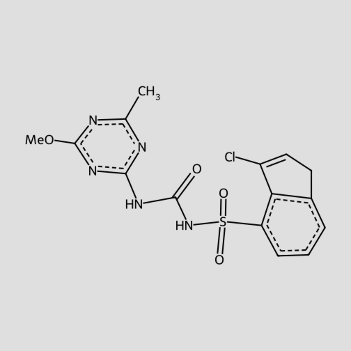 COc1nc(C)nc(NC(=O)NS(=O)(=O)c2cccc3c2C(Cl)=CC3)n1